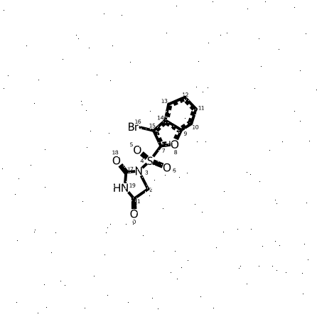 O=C1CN(S(=O)(=O)c2oc3ccccc3c2Br)C(=O)N1